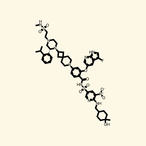 CNS(=O)(=O)CCN1CCN(C2CC3(CCN(c4ccc(C(=O)NS(=O)(=O)c5cnc(NCC6CCC(C)(O)CC6)c([N+](=O)[O-])c5)c(Oc5cnc6[nH]cc(F)c6c5)c4)CC3)C2)[C@H](c2ccccc2C(C)C)C1